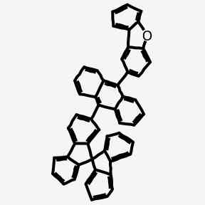 c1ccc2c(c1)-c1ccccc1C21c2ccccc2-c2ccc(-c3c4ccccc4c(-c4ccc5oc6ccccc6c5c4)c4ccccc34)cc21